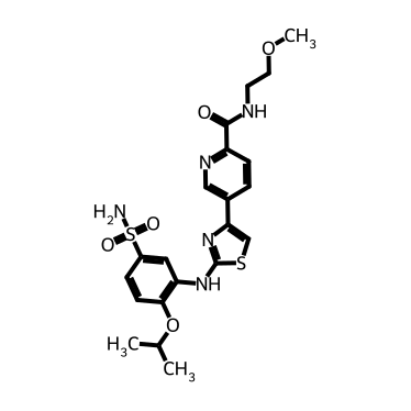 COCCNC(=O)c1ccc(-c2csc(Nc3cc(S(N)(=O)=O)ccc3OC(C)C)n2)cn1